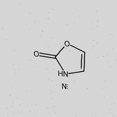 O=c1[nH]cco1.[N]